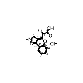 Cl.O=C(O)C(=O)C1=C2CNN=C2c2ccccc2O1